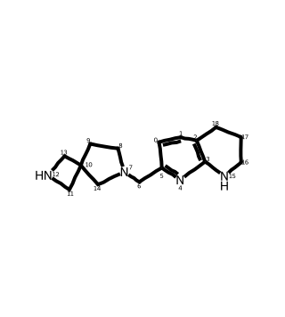 c1cc2c(nc1CN1CCC3(CNC3)C1)NCCC2